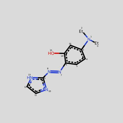 CCN(CC)c1ccc(N=Nc2ncc[nH]2)c(O)c1